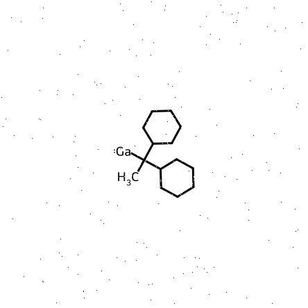 C[C]([Ga])(C1CCCCC1)C1CCCCC1